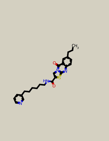 CCCc1ccc2nc3sc(C(=O)NCCCCCCc4cccnc4)cn3c(=O)c2c1